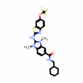 CN1c2ccc(C(=O)NCC3CCCCC3)cc2N(C)C1Nc1nc2ccc(OC(F)(F)F)cc2s1